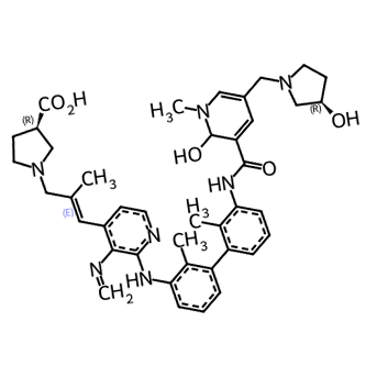 C=Nc1c(/C=C(\C)CN2CC[C@@H](C(=O)O)C2)ccnc1Nc1cccc(-c2cccc(NC(=O)C3=CC(CN4CC[C@@H](O)C4)=CN(C)C3O)c2C)c1C